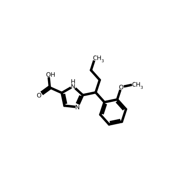 CCCC(c1ncc(C(=O)O)[nH]1)c1ccccc1OC